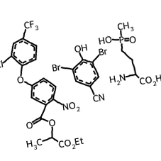 CCOC(=O)C(C)OC(=O)c1cc(Oc2ccc(C(F)(F)F)cc2Cl)ccc1[N+](=O)[O-].CP(=O)(O)CCC(N)C(=O)O.N#Cc1cc(Br)c(O)c(Br)c1